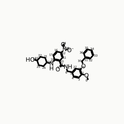 COc1ccc(CNC(=O)c2cc([N+](=O)[O-])ccc2NC2CCC(O)CC2)cc1OCc1ccccc1